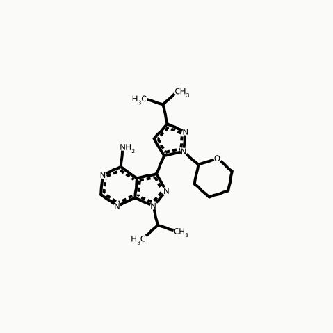 CC(C)c1cc(-c2nn(C(C)C)c3ncnc(N)c23)n(C2CCCCO2)n1